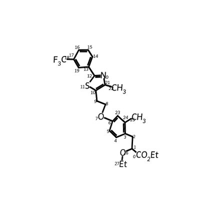 CCOC(=O)C(Cc1ccc(OCCc2sc(-c3cccc(C(F)(F)F)c3)nc2C)cc1C)OCC